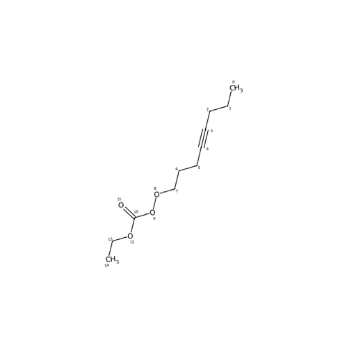 CCCC#CCCCOOC(=O)OCC